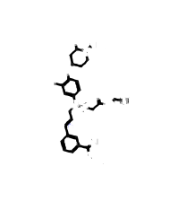 CCOC(=O)CS(=O)(=O)N(C/C=C/c1cccc(C(=N)N)c1)c1ccc(OC2CCN(C)C(C)C2)c(Cl)c1.Cl.Cl